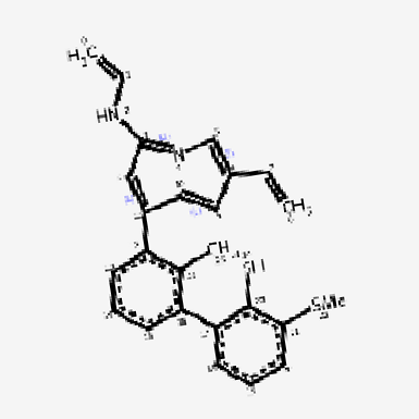 C=CNC1=N\C=C(C=C)/C=C/C(c2cccc(-c3cccc(SC)c3S)c2C)=C\1